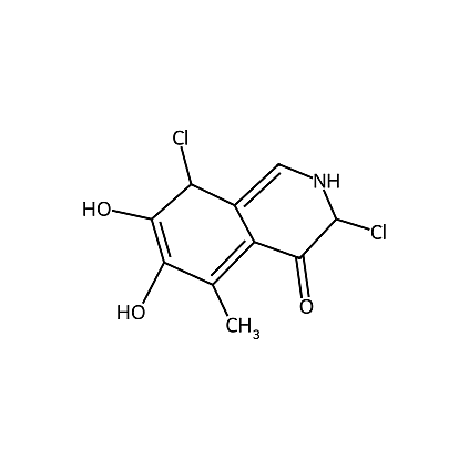 CC1=C2C(=O)C(Cl)NC=C2C(Cl)C(O)=C1O